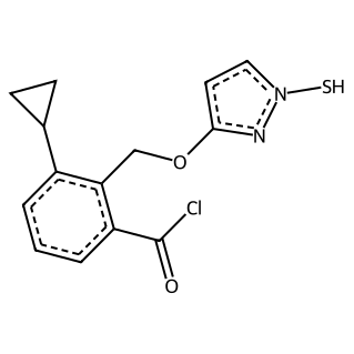 O=C(Cl)c1cccc(C2CC2)c1COc1ccn(S)n1